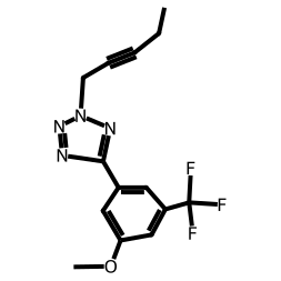 CCC#CCn1nnc(-c2cc(OC)cc(C(F)(F)F)c2)n1